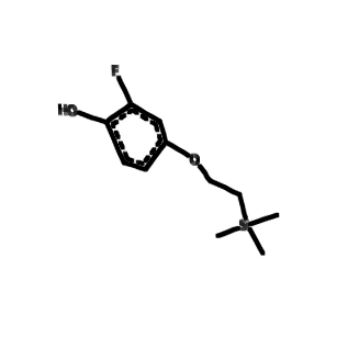 C[Si](C)(C)CCOc1ccc(O)c(F)c1